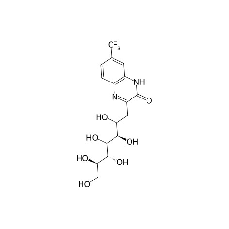 O=c1[nH]c2cc(C(F)(F)F)ccc2nc1CC(O)[C@@H](O)C(O)[C@H](O)[C@H](O)CO